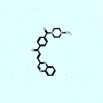 CN1CCN(C(=O)c2ccc(C(=O)C=Cc3cnc4ccccc4n3)cc2)CC1